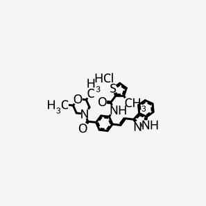 Cc1ccsc1C(=O)Nc1cc(C(=O)N2CC(C)OC(C)C2)ccc1C=Cc1n[nH]c2ccccc12.Cl